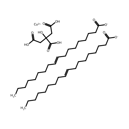 CCCCCCCCC=CCCCCCCCC(=O)[O-].CCCCCCCCC=CCCCCCCCC(=O)[O-].O=C(O)CC(O)(CC(=O)O)C(=O)O.[Cu+2]